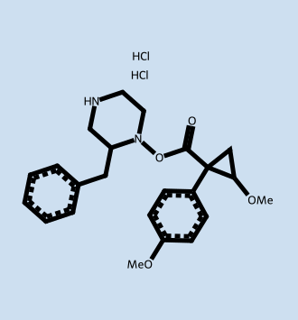 COc1ccc(C2(C(=O)ON3CCNCC3Cc3ccccc3)CC2OC)cc1.Cl.Cl